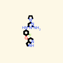 Nc1nc(Nc2ccc(Oc3ccnc4[nH]ccc34)c(F)c2)cc(N2CCCC2)n1